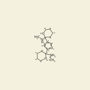 C[SiH2]C1(c2coc(C3([SiH2]C)CCCCO3)c2)CCCCO1